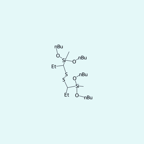 CCCCO[Si](C)(OCCCC)C(CC)SSC(CC)[Si](C)(OCCCC)OCCCC